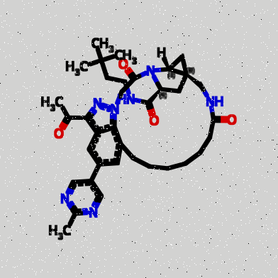 CC(=O)c1nn2c3c(cc(-c4cnc(C)nc4)cc13)CCCCCCC(=O)NC[C@@]13C[C@@H](C(=O)NCCC(C)(C)C)N(C(=O)C2)[C@@H]1C3